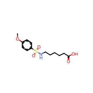 COc1ccc(S(=O)(=O)NCCCCCC(=O)O)cc1